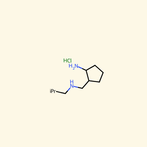 CC(C)CNCC1CCCC1N.Cl